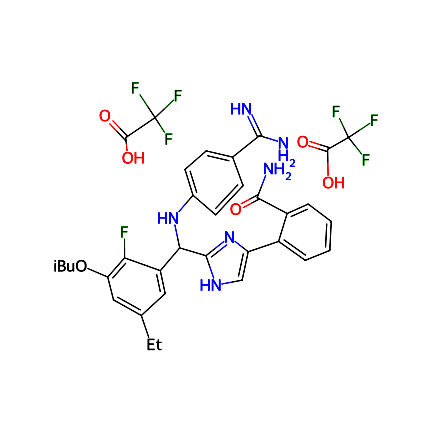 CCc1cc(OCC(C)C)c(F)c(C(Nc2ccc(C(=N)N)cc2)c2nc(-c3ccccc3C(N)=O)c[nH]2)c1.O=C(O)C(F)(F)F.O=C(O)C(F)(F)F